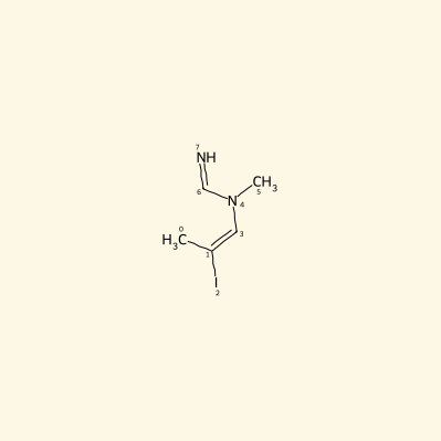 C/C(I)=C\N(C)C=N